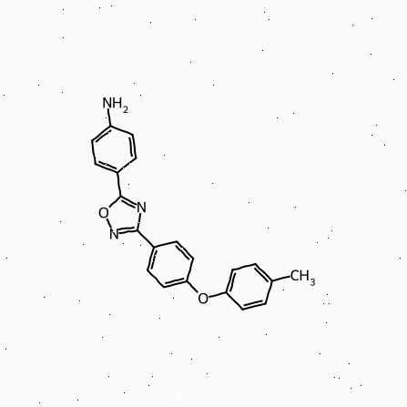 Cc1ccc(Oc2ccc(-c3noc(-c4ccc(N)cc4)n3)cc2)cc1